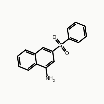 Nc1cc(S(=O)(=O)c2ccccc2)cc2ccccc12